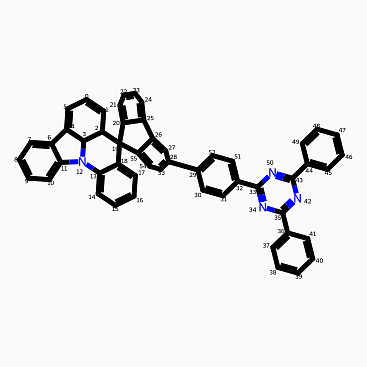 C1=CC2C3C(=C1)c1ccccc1N3c1ccccc1C21c2ccccc2-c2cc(-c3ccc(-c4nc(-c5ccccc5)nc(-c5ccccc5)n4)cc3)ccc21